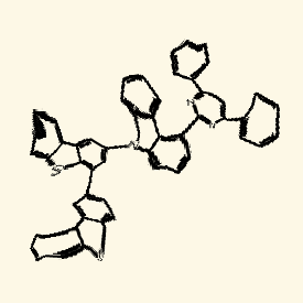 c1ccc(-c2cc(-c3ccccc3)nc(-c3cccc4c3c3ccccc3n4-c3cc(-c4ccc5sc6ccccc6c5c4)c4sc5ccccc5c4c3)n2)cc1